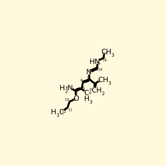 C=C(C)C(=C\C(C)=C(/N)OCCC)/N=C/NCC